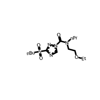 CCCCS(=O)(=O)c1ncn(C(=O)N(CCC)CCOCC)n1